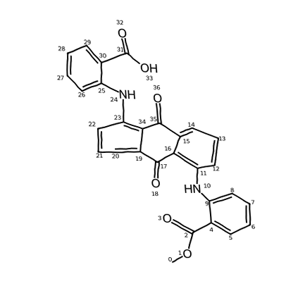 COC(=O)c1ccccc1Nc1cccc2c1C(=O)c1cccc(Nc3ccccc3C(=O)O)c1C2=O